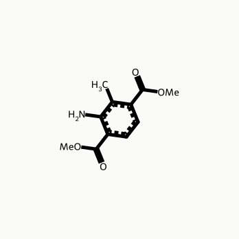 COC(=O)c1ccc(C(=O)OC)c(N)c1C